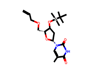 C=CCOC[C@H]1O[C@@H](n2cc(C)c(=O)[nH]c2=O)CC1O[Si](C)(C)C(C)(C)C